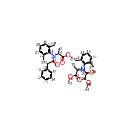 COC(=O)C(C)N(C(=O)Cc1ccccc1)c1c(C)cccc1C.COCC(=O)N(c1c(C)cccc1C)C(C)C(=O)OC